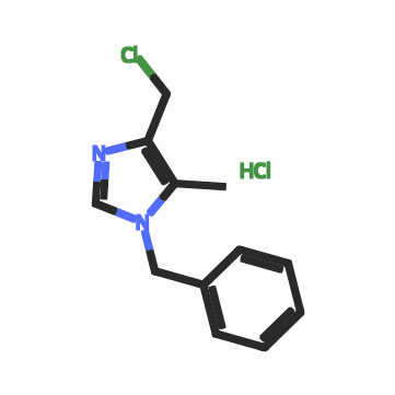 Cc1c(CCl)ncn1Cc1ccccc1.Cl